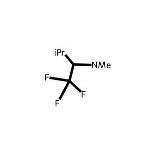 CNC(C(C)C)C(F)(F)F